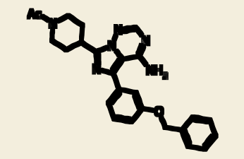 CC(=O)N1CCC(c2nc(-c3cccc(OCc4ccccc4)c3)c3c(N)ncnn23)CC1